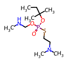 CCC(C)(C)OP(=O)(OCNC)SCCN(C)C